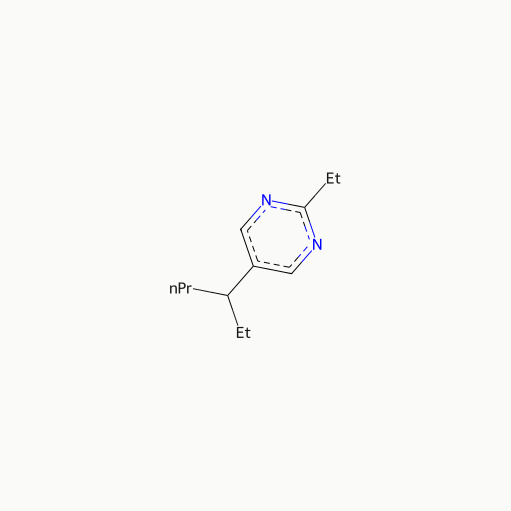 CCCC(CC)c1cnc(CC)nc1